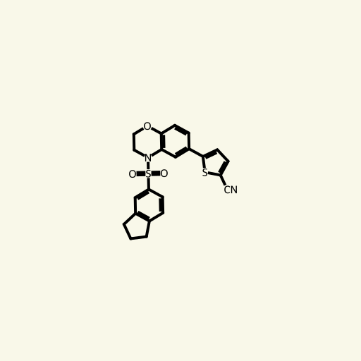 N#Cc1ccc(-c2ccc3c(c2)N(S(=O)(=O)c2ccc4c(c2)CCC4)CCO3)s1